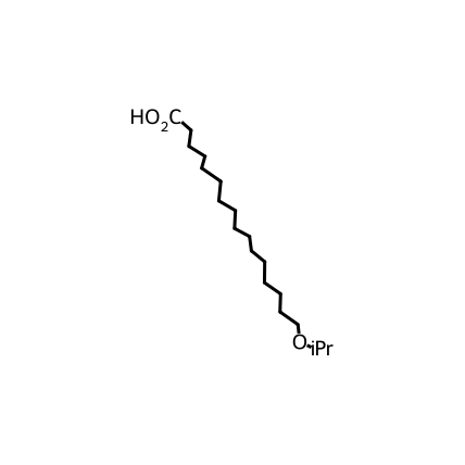 CC(C)OCCCCCCCCCCCCCCCC(=O)O